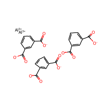 O=C([O-])c1cccc(C(=O)[O-])c1.O=C([O-])c1cccc(C(=O)[O-])c1.O=C([O-])c1cccc(C(=O)[O-])c1.[Al+3].[Al+3]